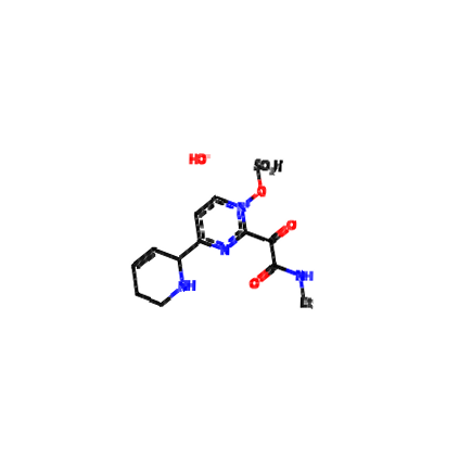 CCNC(=O)C(=O)c1nc(C2C=CCCN2)cc[n+]1OS(=O)(=O)O.[OH-]